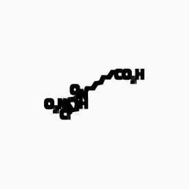 O=C(O)CCCCCCCNC(=O)c1ccc(Cl)c([N+](=O)[O-])c1